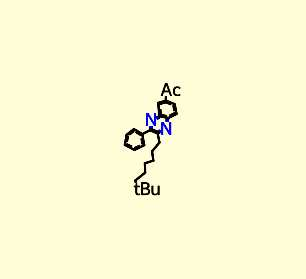 CC(=O)c1ccc2nc(CCCCCCC(C)(C)C)c(-c3ccccc3)nc2c1